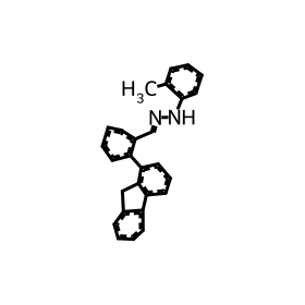 Cc1ccccc1NN=Cc1ccccc1-c1cccc2c1Cc1ccccc1-2